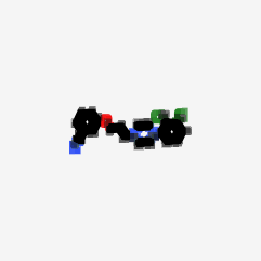 N#Cc1cccc(OCCCN2CCN(c3cccc(Cl)c3Cl)CC2)c1